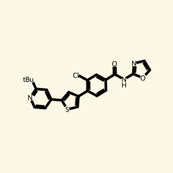 CC(C)(C)c1cc(-c2cc(-c3ccc(C(=O)Nc4ncco4)cc3Cl)cs2)ccn1